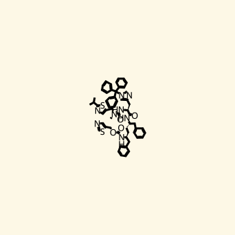 CC(C)c1ncc(CN(C)C(=O)N[C@@H](Cc2cn(C(c3ccccc3)(c3ccccc3)c3ccccc3)cn2)C(=O)N[C@@H](CC[C@@H](Cc2ccccc2)NC(=O)OCc2cncs2)Cc2ccccc2)s1